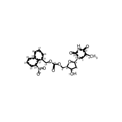 Cc1cn([C@H]2CC(O)[C@@H](COC(=O)OCc3cccc4cccc([N+](=O)[O-])c34)O2)c(=O)[nH]c1=O